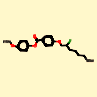 CCCCCCCCCCCCCCC(F)COc1ccc(C(=O)Oc2ccc(OCCCCCC)cc2)cc1